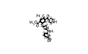 CC(=O)c1cc(C)c(C(=O)N2CCNCC2)cc1Sc1cnc(Nc2cccc(Br)n2)s1